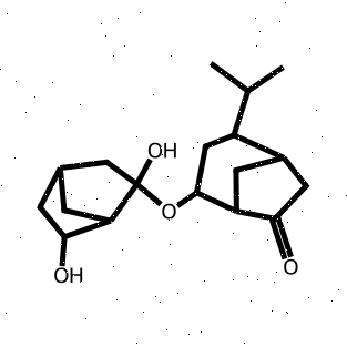 CC(C)C1CC(OC2(O)CC3CC(O)C2C3)C2CC1CC2=O